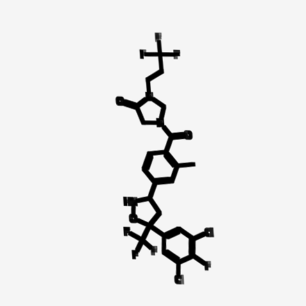 Cc1cc(C2CC(c3cc(Cl)c(F)c(Cl)c3)(C(F)(F)F)ON2)ccc1C(=O)N1CC(=O)N(CCC(F)(F)F)C1